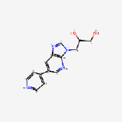 OCC(O)Cn1cnc2cc(-c3ccncc3)cnc21